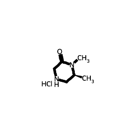 C[C@H]1CNCC(=O)N1C.Cl